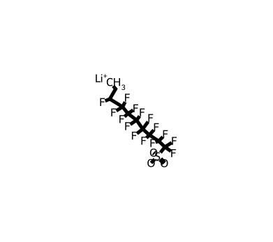 CCC(F)C(F)(F)C(F)(F)C(F)(F)C(F)(F)C(F)(F)C(F)(F)C(F)(F)S(=O)(=O)[O-].[Li+]